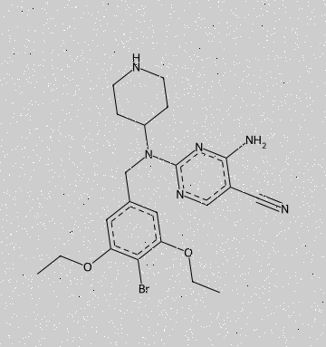 CCOc1cc(CN(c2ncc(C#N)c(N)n2)C2CCNCC2)cc(OCC)c1Br